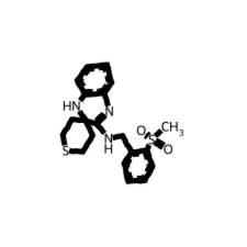 CS(=O)(=O)c1ccccc1CNC1=Nc2ccccc2NC12CCSCC2